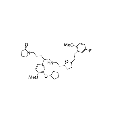 COc1ccc(F)cc1CCC1CCC(CCNCC(CCCN2CCCC2=O)c2ccc(OC)c(OC3CCCC3)c2)O1